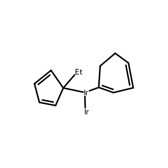 CC[C]1([Ir]([Ir])[C]2=CC=CCC2)C=CC=C1